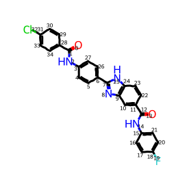 O=C(Nc1ccc(-c2nc3cc(C(=O)Nc4ccc(F)cc4)ccc3[nH]2)cc1)c1ccc(Cl)cc1